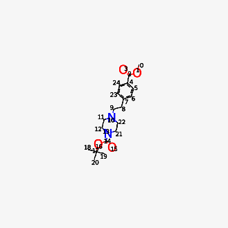 COC(=O)c1ccc(CCN2CCN(C(=O)OC(C)(C)C)CC2)cc1